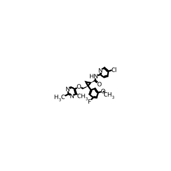 COc1cc(F)cc([C@]2(COc3cnc(C)nc3C)C[C@H]2C(=O)Nc2ccc(Cl)cn2)c1